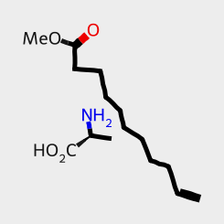 C=CCCCCCCCCC(=O)OC.C[C@H](N)C(=O)O